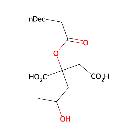 CCCCCCCCCCCC(=O)OC(CC(=O)O)(CC(C)O)C(=O)O